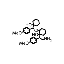 COc1ccc(C(C#N)C2(O)CCCCC2)cc1.COc1ccc(C(CN)C2(O)CCCCC2)cc1